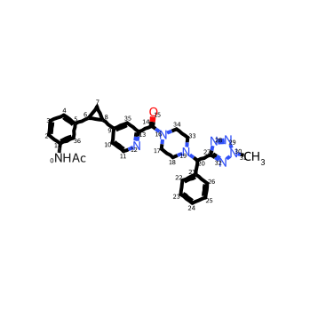 CC(=O)Nc1cccc(C2CC2c2ccnc(C(=O)N3CCN(C(c4ccccc4)c4nnn(C)n4)CC3)c2)c1